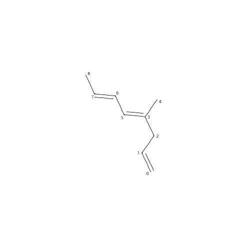 C=CCC(C)=CC=CC